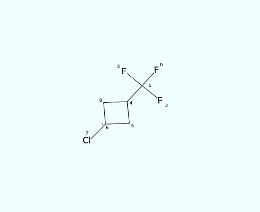 FC(F)(F)C1C[C](Cl)C1